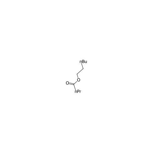 [CH2]CCCCCOC(=O)CCC